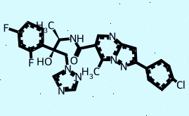 Cc1c(C(=O)N[C@H](C)[C@](O)(Cn2cncn2)c2ccc(F)cc2F)cnc2cc(-c3ccc(Cl)cc3)nn12